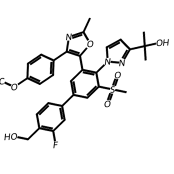 Cc1nc(-c2ccc(OC(F)(F)F)cc2)c(-c2cc(-c3ccc(CO)c(F)c3)cc(S(C)(=O)=O)c2-n2ccc(C(C)(C)O)n2)o1